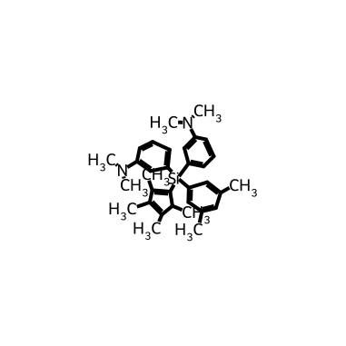 CC1=C(C)C(C)C([Si](c2cc(C)cc(C)c2)(c2cccc(N(C)C)c2)c2cccc(N(C)C)c2)=C1C